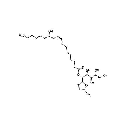 CCCCCC[C@@H](O)C/C=C\CCCCCCCC(=O)O[C@@H](C1OCC(C)O1)[C@@H](O)[C@H](O)[C@H](O)CO